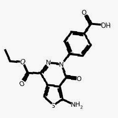 CCOC(=O)c1nn(-c2ccc(C(=O)O)cc2)c(=O)c2c(N)scc12